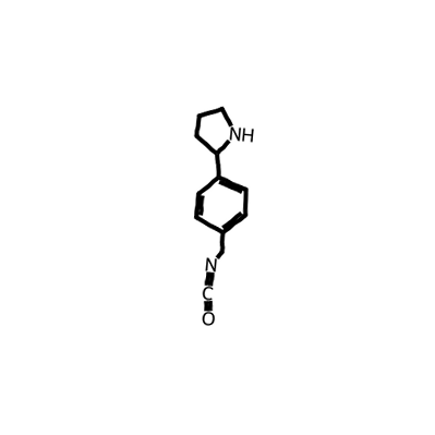 O=C=NCc1ccc(C2CCCN2)cc1